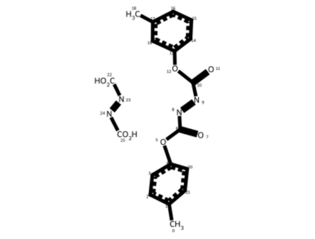 Cc1ccc(OC(=O)N=NC(=O)Oc2cccc(C)c2)cc1.O=C(O)N=NC(=O)O